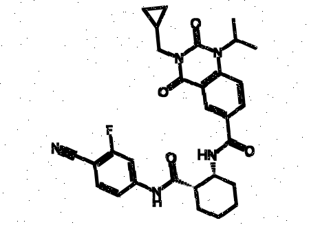 CC(C)n1c(=O)n(CC2CC2)c(=O)c2cc(C(=O)N[C@@H]3CCCC[C@@H]3C(=O)Nc3ccc(C#N)c(F)c3)ccc21